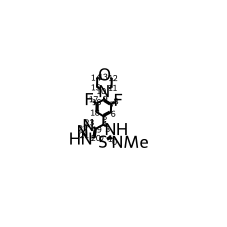 CNC(=S)NC(c1cc(F)c(N2CCOCC2)c(F)c1)c1c[nH]nn1